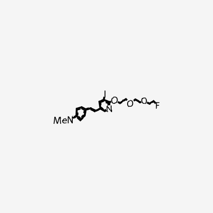 CNc1ccc(C=Cc2cnc(OCCOCCOCCF)c(I)c2)cc1